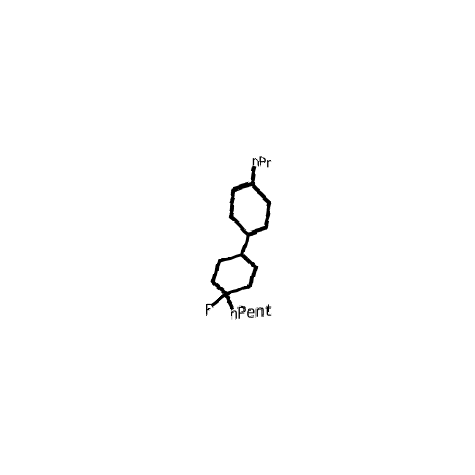 CCCCCC1(F)CCC(C2CCC(CCC)CC2)CC1